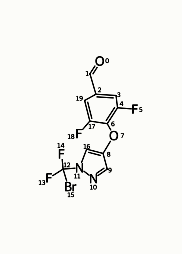 O=Cc1cc(F)c(Oc2cnn(C(F)(F)Br)c2)c(F)c1